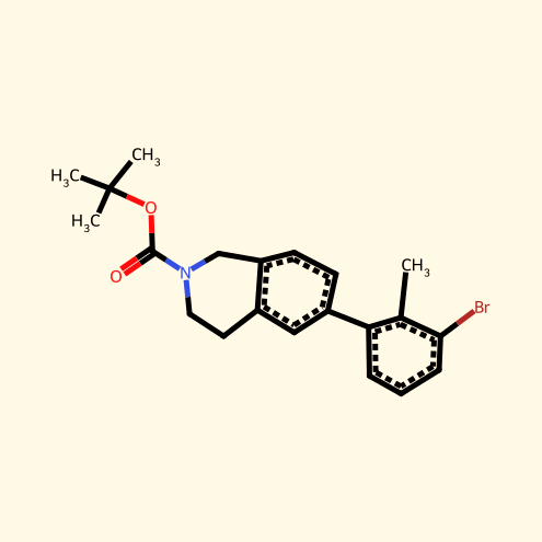 Cc1c(Br)cccc1-c1ccc2c(c1)CCN(C(=O)OC(C)(C)C)C2